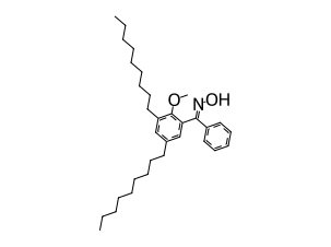 CCCCCCCCCc1cc(CCCCCCCCC)c(OC)c(C(=NO)c2ccccc2)c1